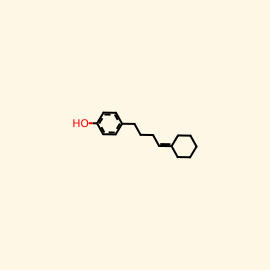 Oc1ccc(CCCC=C2CCCCC2)cc1